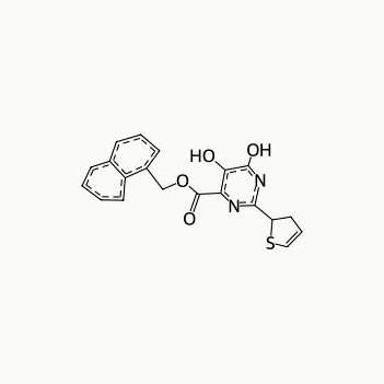 O=C(OCc1cccc2ccccc12)c1nc(C2CC=CS2)nc(O)c1O